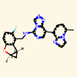 Cc1ccc(-c2cnc(NCc3c(F)ccc4c3[C@H]3C[C@H]3O4)n3cnnc23)c2nccn12